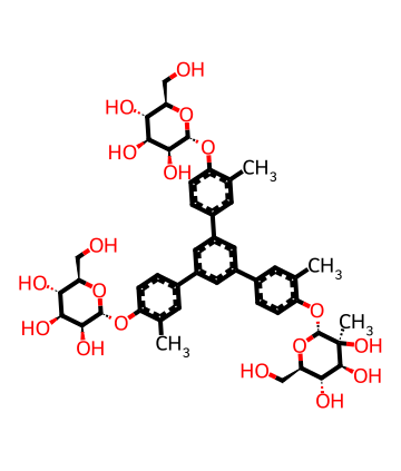 Cc1cc(-c2cc(-c3ccc(O[C@H]4O[C@H](CO)[C@@H](O)[C@H](O)[C@@H]4O)c(C)c3)cc(-c3ccc(O[C@H]4O[C@H](CO)[C@@H](O)[C@H](O)[C@]4(C)O)c(C)c3)c2)ccc1O[C@H]1O[C@H](CO)[C@@H](O)[C@H](O)[C@@H]1O